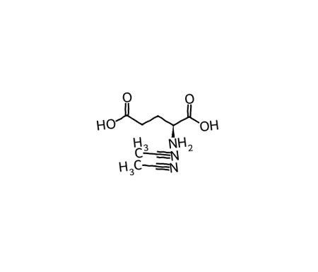 CC#N.CC#N.N[C@@H](CCC(=O)O)C(=O)O